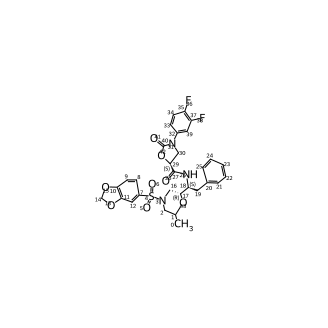 CC1CN(S(=O)(=O)c2ccc3c(c2)OCO3)C[C@H]([C@H](Cc2ccccc2)NC(=O)[C@@H]2CN(c3ccc(F)c(F)c3)C(=O)O2)O1